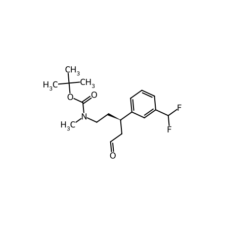 CN(CC[C@H](CC=O)c1cccc(C(F)F)c1)C(=O)OC(C)(C)C